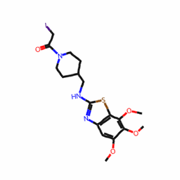 COc1cc2nc(NCC3CCN(C(=O)CI)CC3)sc2c(OC)c1OC